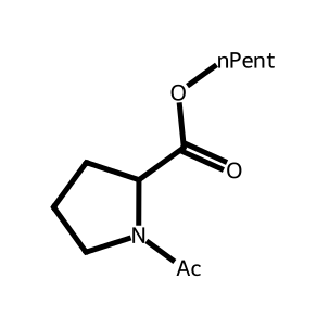 CCCCCOC(=O)C1CCCN1C(C)=O